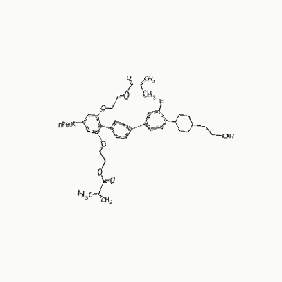 C=C(C)C(=O)OCCOc1cc(CCCCC)cc(OCCOC(=O)C(=C)C)c1-c1ccc(-c2ccc(C3CCC(CCO)CC3)c(F)c2)cc1